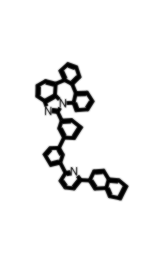 c1cc(-c2cccc(-c3nc4cccc5c4n3-c3ccccc3-c3ccccc3-5)c2)cc(-c2cccc(-c3ccc4ccccc4c3)n2)c1